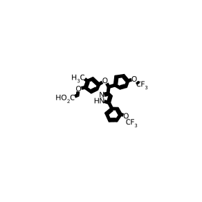 Cc1cc(OC(c2ccc(OC(F)(F)F)cc2)c2cc(-c3cccc(OC(F)(F)F)c3)[nH]n2)ccc1OCC(=O)O